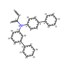 C=CC(=C)N(c1ccc(-c2ccccc2)cc1)c1cccc(-c2ccccc2)c1